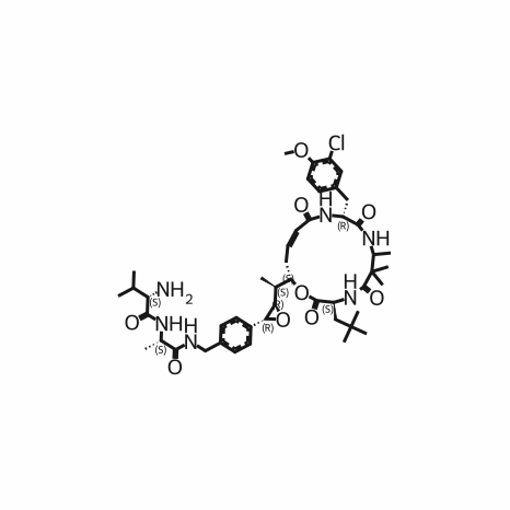 COc1ccc(C[C@H]2NC(=O)C=CC[C@@H]([C@H](C)[C@H]3O[C@@H]3c3ccc(CNC(=O)[C@H](C)NC(=O)[C@@H](N)C(C)C)cc3)OC(=O)[C@H](CC(C)(C)C)NC(=O)C(C)(C)C(C)NC2=O)cc1Cl